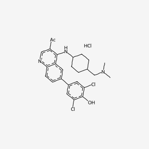 CC(=O)c1cnc2ccc(-c3cc(Cl)c(O)c(Cl)c3)cc2c1NC1CCC(CN(C)C)CC1.Cl